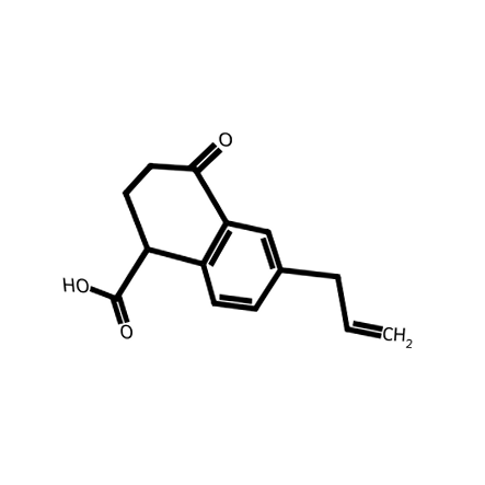 C=CCc1ccc2c(c1)C(=O)CCC2C(=O)O